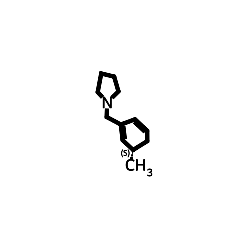 C[C@@H]1C=C(CN2CCCC2)C=CC1